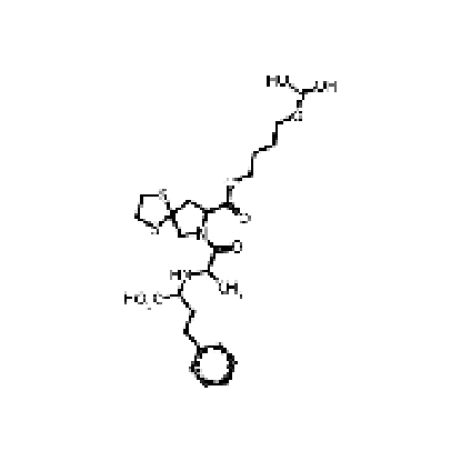 CC(NC(CCc1ccccc1)C(=O)O)C(=O)N1CC2(CC1C(=O)OCCCCON(O)O)SCCS2